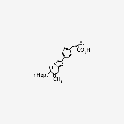 CCCCCCCC(=O)N(C)Cc1cc(-c2ccc(C=C(CC)C(=O)O)cc2)cs1